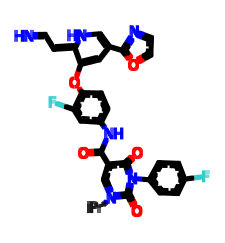 CC(C)n1cc(C(=O)Nc2ccc(OC3=CC(c4ncco4)=CN/C3=C\C=N)c(F)c2)c(=O)n(-c2ccc(F)cc2)c1=O